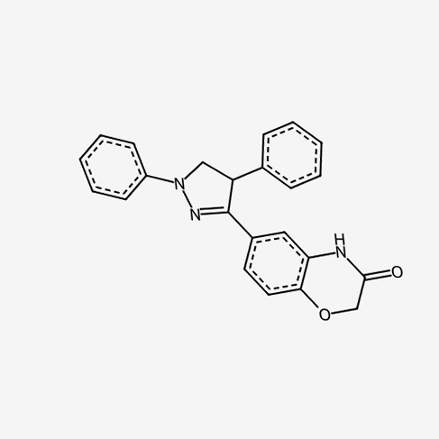 O=C1COc2ccc(C3=NN(c4ccccc4)CC3c3ccccc3)cc2N1